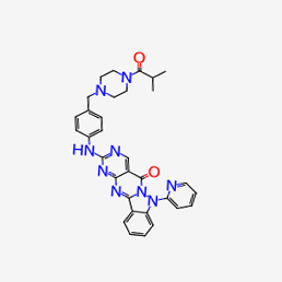 CC(C)C(=O)N1CCN(Cc2ccc(Nc3ncc4c(=O)n5c(nc4n3)c3ccccc3n5-c3ccccn3)cc2)CC1